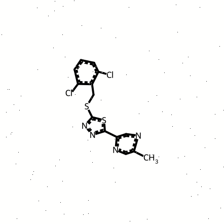 Cc1cnc(-c2nnc(SCc3c(Cl)cccc3Cl)s2)cn1